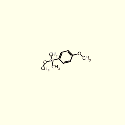 COc1ccc([Si](C)(C)OC)cc1